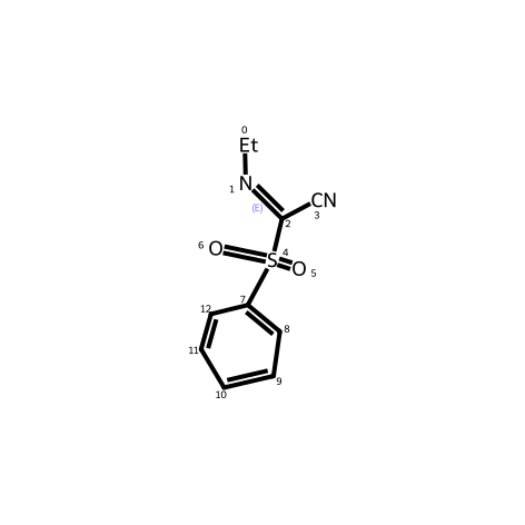 CC/N=C(\C#N)S(=O)(=O)c1ccccc1